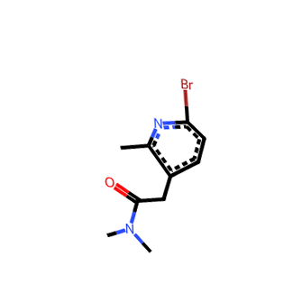 Cc1nc(Br)ccc1CC(=O)N(C)C